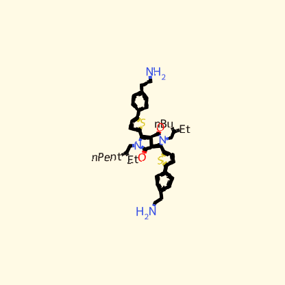 CCCCCC(CC)CN1C(=O)C2=C(c3ccc(-c4ccc(CCN)cc4)s3)N(CC(CC)CCCC)C(=O)C2=C1c1ccc(-c2ccc(CCN)cc2)s1